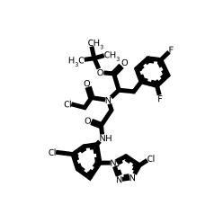 CC(C)(C)OC(=O)C(Cc1ccc(F)cc1F)N(CC(=O)Nc1cc(Cl)ccc1-n1cc(Cl)nn1)C(=O)CCl